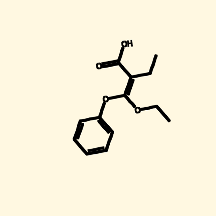 CCOC(Oc1ccccc1)=C(CC)C(=O)O